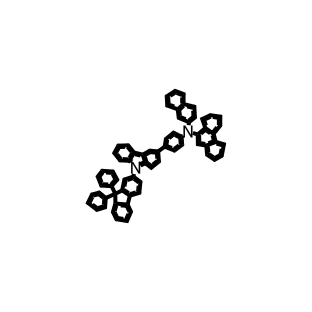 c1ccc(C2(c3ccccc3)c3ccccc3-c3ccc(-n4c5ccccc5c5cc(-c6ccc(N(c7ccc8ccccc8c7)c7cc8ccccc8c8ccccc78)cc6)ccc54)cc32)cc1